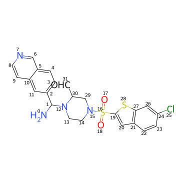 NC(c1ccc2cnccc2c1)N1CCN(S(=O)(=O)c2cc3ccc(Cl)cc3s2)CC1C=O